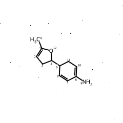 CC1=CCC(C2C=CC(N)=CC2)O1